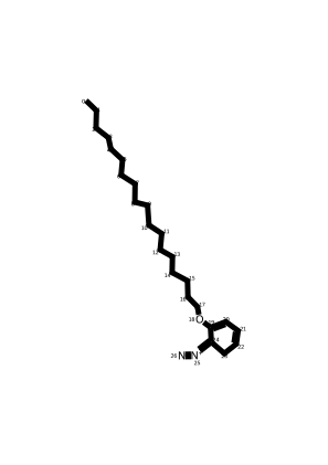 CCCCCCCCCCCCCCCCCCOC1=CC=CCC1=[N+]=[N-]